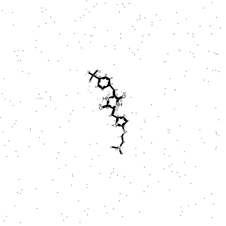 CN(C)CCSc1ccc(/C=c2\[nH]c(=O)/c(=C/c3ccc(C(C)(C)C)cc3)[nH]c2=O)s1